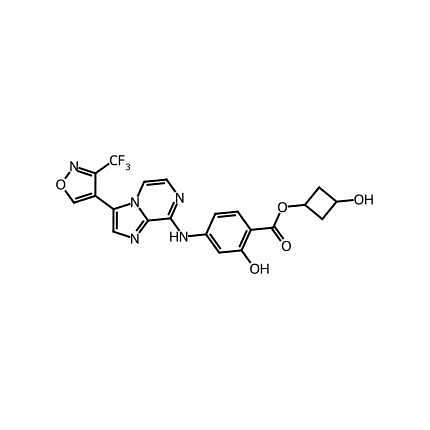 O=C(OC1CC(O)C1)c1ccc(Nc2nccn3c(-c4conc4C(F)(F)F)cnc23)cc1O